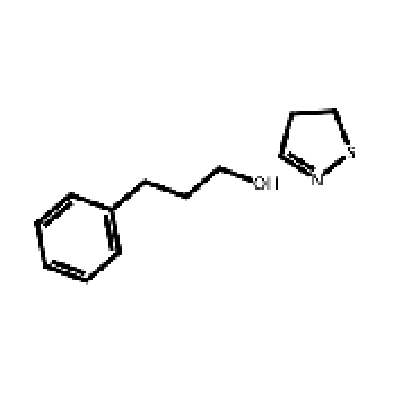 C1=NSCC1.OCCCc1ccccc1